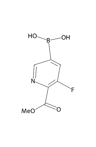 COC(=O)c1ncc(B(O)O)cc1F